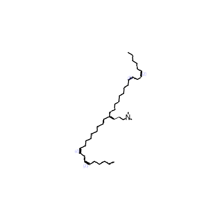 CCCCC/C=C\C/C=C\CCCCCCCCC(=CCCN(C)C)CCCCCCCC/C=C\C/C=C\CCCCC